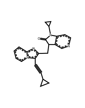 O=C1C(Cc2nc3ccccn3c2C#CC2CC2)c2cnccc2N1C1CC1